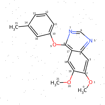 COc1cc2ncnc(Oc3cccc(C)c3)c2cc1OC